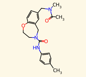 CC(=O)N(C)Cc1ccc2c(c1)CN(C(=O)Nc1ccc(C)cc1)CCO2